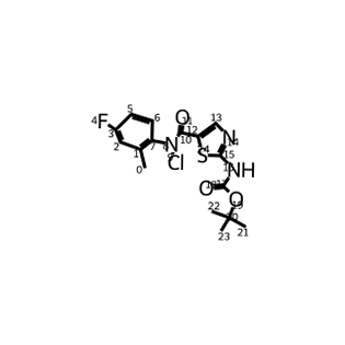 Cc1cc(F)ccc1N(Cl)C(=O)c1cnc(NC(=O)OC(C)(C)C)s1